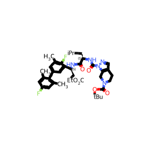 CCOC(=O)C[C@H](NC(=O)[C@H](CC(C)C)NC(=O)n1ncc2c1CN(C(=O)OC(C)(C)C)CC2)c1cc(-c2c(C)cc(F)cc2C)cc(C)c1F